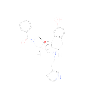 O=C(c1ccccc1)N1C[C@H]2C[C@@]34CCC1C2[C@@]31CCN(CCc2cccnc2)[C@@H]4Cc2ccc(O)cc21